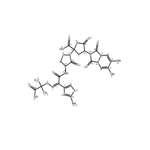 CC(C)(O/N=C(\C(=O)N[C@H]1CON(C2(C(=O)O)CC(n3c(=O)n4cc(O)c(O)cn4c3=O)C(=O)O2)C1=O)c1csc(N)n1)C(=O)O